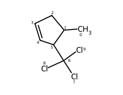 CC1CC=CC1C(Cl)(Cl)Cl